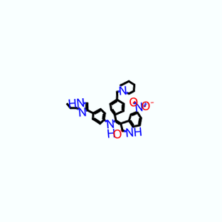 CCc1nc(-c2ccc(N/C(=C3\C(=O)Nc4ccc([N+](=O)[O-])cc43)c3ccc(CN4CCCCC4)cc3)cc2)c[nH]1